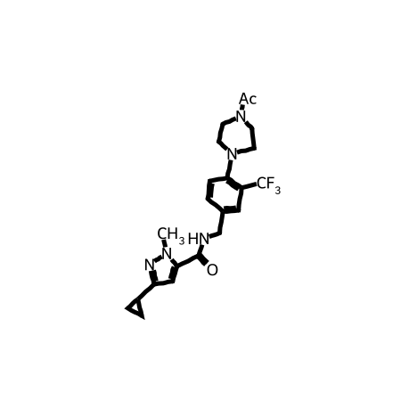 CC(=O)N1CCN(c2ccc(CNC(=O)c3cc(C4CC4)nn3C)cc2C(F)(F)F)CC1